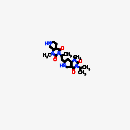 CC(C)n1c(=O)c2c(n(C)c1=O)CC(CC(C)n1c(=O)c3c(n(C)c1=O)CNCC3)NC2